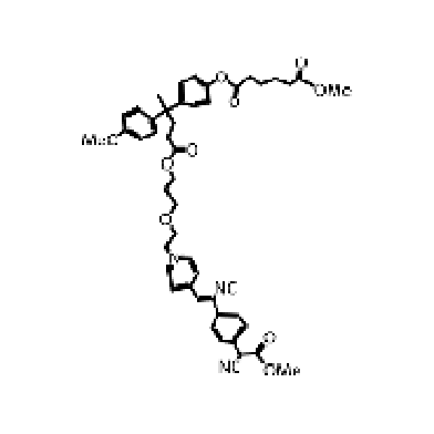 [C-]#[N+]/C(=C\c1cc[n+](CCOCCCOC(=O)CCC(C)(c2ccc(OC)cc2)c2ccc(OC(=O)CCCCC(=O)OC)cc2)cc1)c1ccc(C(C#N)C(=O)OC)cc1